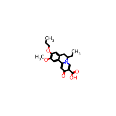 CCCOc1cc2c(cc1OC)-c1cc(=O)c(C(=O)O)cn1C(CC)C2